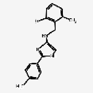 CCc1cccc(C)c1CNc1c[nH]c(-c2ccc(C)cc2)n1